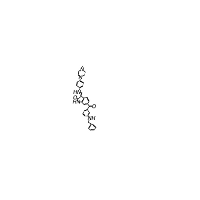 CN1CCN(c2ccc(NC=C3C(=O)Nc4cc(C(=O)c5cccc(NCc6ccccc6)c5)ccc43)cc2)CC1